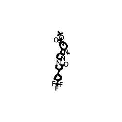 Cn1c2c(c3ccc(-n4ccc(-c5ccc(C(F)(F)F)cc5)cc4=O)nc31)C1CCC(C2)N1C(=O)OC(C)(C)C